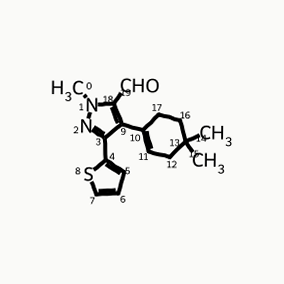 Cn1nc(-c2cccs2)c(C2=CCC(C)(C)CC2)c1C=O